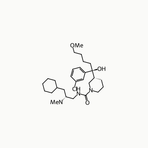 CN[C@@H](CNC(=O)N1CCC[C@@H]([C@@](O)(CCCCOC)c2cccc(Cl)c2)C1)CC1CCCCC1